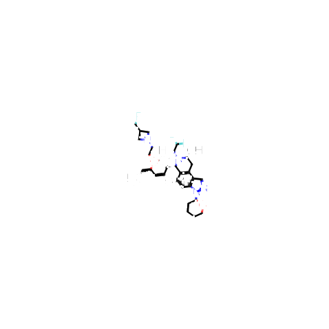 C=C(/C(=C\C(=C/C)OCCN1CC(CF)C1)OC)[C@@H]1c2ccc3c(cnn3C3CCCCO3)c2C[C@@H](C)N1CC(F)F